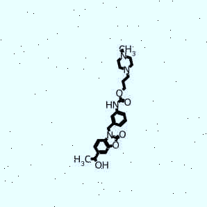 CC(O)c1ccc2c(c1)oc(=O)n2Cc1cccc(NC(=O)OCCCN2CCN(C)CC2)c1